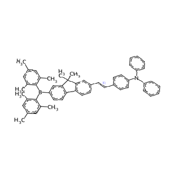 Cc1cc(C)c(B(c2ccc3c(c2)C(C)(C)c2cc(/C=C/c4ccc(N(c5ccccc5)c5ccccc5)cc4)ccc2-3)c2c(C)cc(C)cc2C)c(C)c1